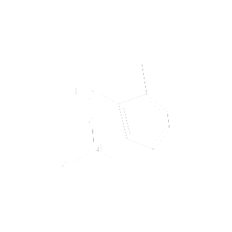 C[SiH](Cl)Cl.Cc1ccccc1C(=O)O